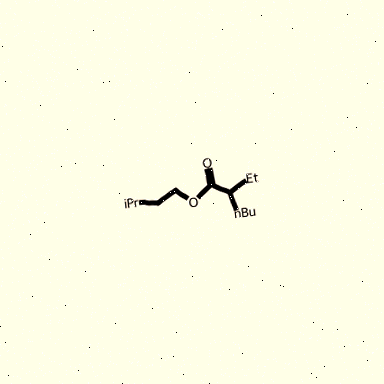 CCCCC(CC)C(=O)OCCC(C)C